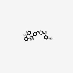 [C-]#[N+]c1cccc(C(=O)N2CCN(Cc3ccc(-c4nnc5n4-c4cccnc4Nc4ccccc4-5)cc3)CC2)c1